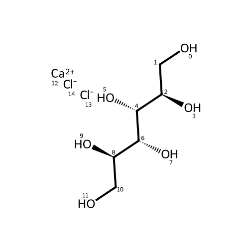 OC[C@@H](O)[C@@H](O)[C@H](O)[C@H](O)CO.[Ca+2].[Cl-].[Cl-]